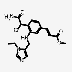 CCn1cncc1CNc1cc(/C=C/C(=O)OC)ccc1C(Cl)C(N)=O